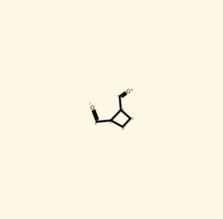 O=CC1CCC1C=O